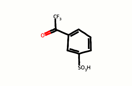 O=C(c1cccc(S(=O)(=O)O)c1)C(F)(F)F